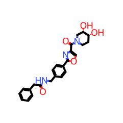 O=C(Cc1ccccc1)NCc1ccc(-c2nc(C(=O)N3CC[C@@H](O)[C@@H](O)C3)co2)cc1